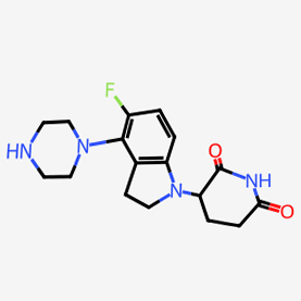 O=C1CCC(N2CCc3c2ccc(F)c3N2CCNCC2)C(=O)N1